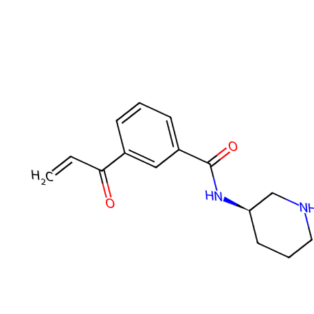 C=CC(=O)c1cccc(C(=O)N[C@@H]2CCCNC2)c1